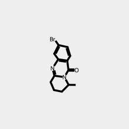 CC1CCCc2nc3cc(Br)ccc3c(=O)n21